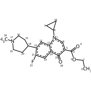 CCOC(=O)c1cn(C2CC2)c2cc(C3CCN(C)CC3)c(F)cc2c1=O